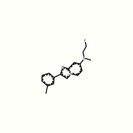 Cc1cccc(-c2cn3ccc(N(C)CCF)cc3n2)c1